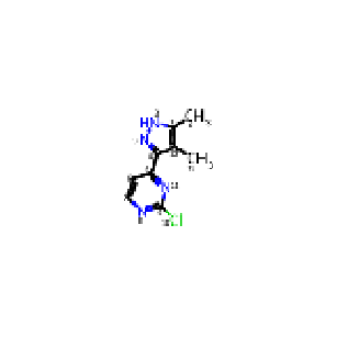 Cc1[nH]nc(-c2ccnc(Cl)n2)c1C